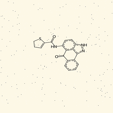 O=C(Nc1ccc2[nH]nc3c2c1C(=O)c1ccccc1-3)C1=CCCS1